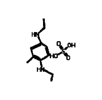 CCNc1ccc(NCC)c(C)c1.O=S(=O)(O)O